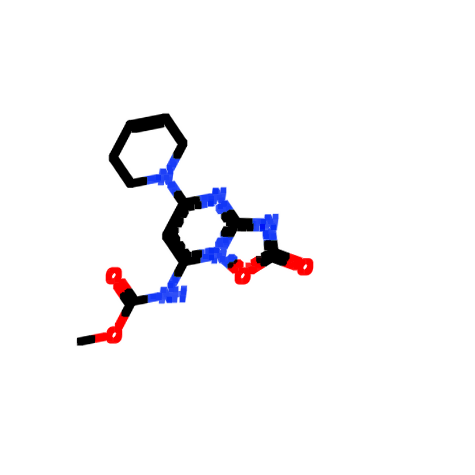 COC(=O)Nc1cc(N2CC=CCC2)nc2nc(=O)on12